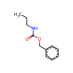 CC[CH]NC(=O)OCc1ccccc1